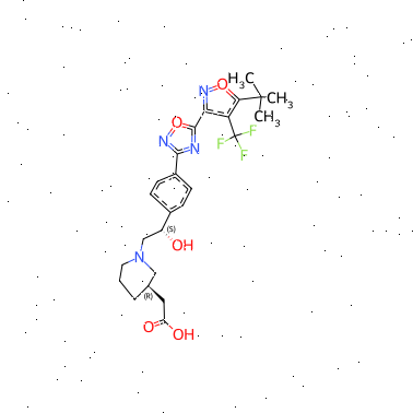 CC(C)(C)c1onc(-c2nc(-c3ccc([C@H](O)CN4CCC[C@H](CC(=O)O)C4)cc3)no2)c1C(F)(F)F